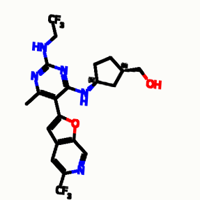 Cc1nc(NCC(F)(F)F)nc(N[C@H]2CC[C@@H](CO)C2)c1-c1cc2cc(C(F)(F)F)ncc2o1